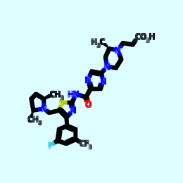 C[C@@H]1CC[C@@H](C)N1Cc1sc(NC(=O)c2cnc(N3CCN(CCC(=O)O)[C@@H](C)C3)cn2)nc1-c1cc(F)cc(C(F)(F)F)c1